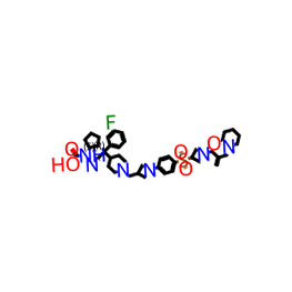 C=C(CN1CCCCC1)C(=O)N1CC(S(=O)(=O)c2ccc(N3CC(CN4CCC(C(C#N)(c5cccc(F)c5)[C@H]5CCC[C@@H]5NC(=O)O)CC4)C3)cc2)C1